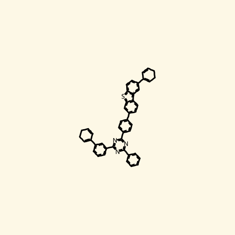 C1=CC(c2cccc(-c3nc(-c4ccccc4)nc(-c4ccc(-c5ccc6c(c5)sc5ccc(C7=CCCC=C7)cc56)cc4)n3)c2)=CCC1